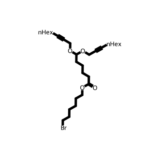 CCCCCCC#CCOC(CCCCC(=O)OCCCCCCBr)OCC#CCCCCCC